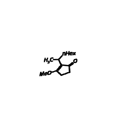 CCCCCCC(C)C1=C(OC)CCC1=O